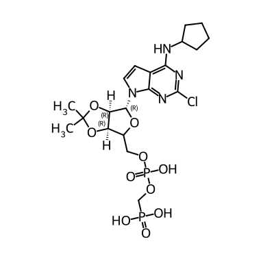 CC1(C)O[C@@H]2[C@H](O1)C(COP(=O)(O)OCP(=O)(O)O)O[C@H]2n1ccc2c(NC3CCCC3)nc(Cl)nc21